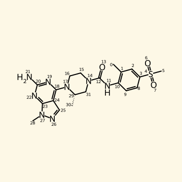 Cc1cc(S(C)(=O)=O)ccc1NC(=O)N1CCN(c2nc(N)nc3c2cnn3C)[C@@H](C)C1